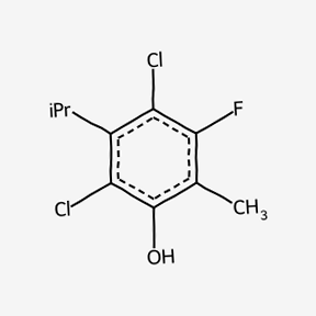 Cc1c(O)c(Cl)c(C(C)C)c(Cl)c1F